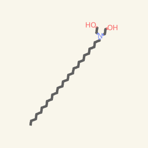 CCCCCCCCCCCCCCCCCCCCCCCCCCCN(CCO)CCO